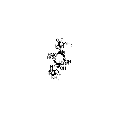 NC1=C2NCN(c3oc4c(c3O)O[PH](O)(O)O/C=C3/OC(n5cnc6c(=O)[nH]c(N)nc65)=C(O[PH](O)(O)OC4)[C@@H]3O)C2NC(F)N1